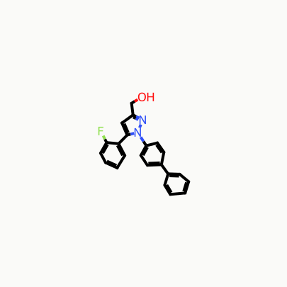 OCc1cc(-c2ccccc2F)n(-c2ccc(-c3ccccc3)cc2)n1